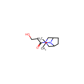 CC(C)N1C2CCC1CN(C(=O)CCO)C2